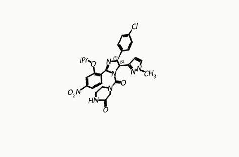 CC(C)Oc1cc([N+](=O)[O-])ccc1C1=N[C@@H](c2ccc(Cl)cc2)[C@@H](c2ccn(C)n2)N1C(=O)N1CCNC(=O)C1